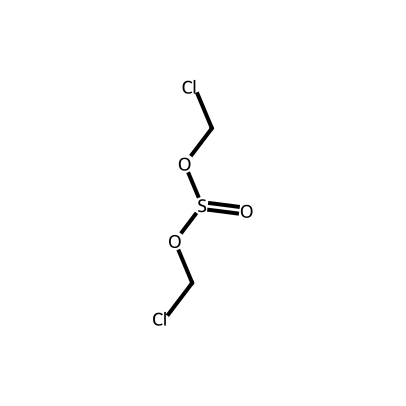 O=S(OCCl)OCCl